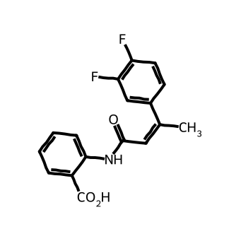 C/C(=C/C(=O)Nc1ccccc1C(=O)O)c1ccc(F)c(F)c1